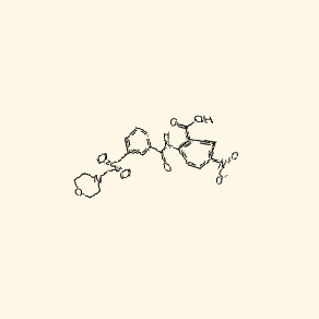 O=C(Nc1ccc([N+](=O)[O-])cc1C(=O)O)c1cccc(S(=O)(=O)N2CCOCC2)c1